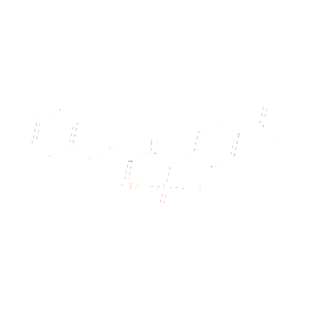 O=C(NC(c1ccc([N+](=O)[O-])cc1)P(=O)(O)O)OCc1ccccc1